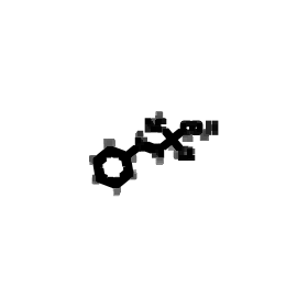 CCC(C#N)(N=Nc1ccccc1)C(=O)O